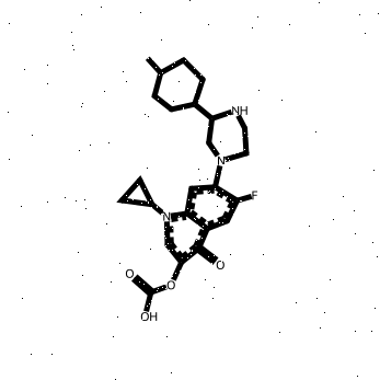 CC1CCC(C2CN(c3cc4c(cc3F)c(=O)c(OC(=O)O)cn4C3CC3)CCN2)CC1